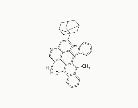 Cc1c2ccccc2c(C)c2c1c1c3c(cc(C45CC6CC(CC(C6)C4)C5)c4c5ccccc5n2c43)nc[n+]1C